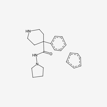 O=C(NN1CCCC1)C1(c2ccccc2)CCNCC1.c1ccccc1